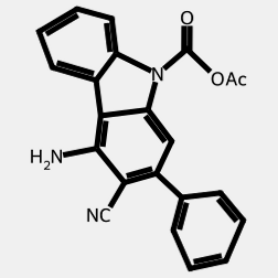 CC(=O)OC(=O)n1c2ccccc2c2c(N)c(C#N)c(-c3ccccc3)cc21